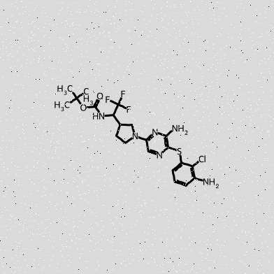 CC(C)(C)OC(=O)NC(C1CCN(c2cnc(Sc3cccc(N)c3Cl)c(N)n2)C1)C(F)(F)F